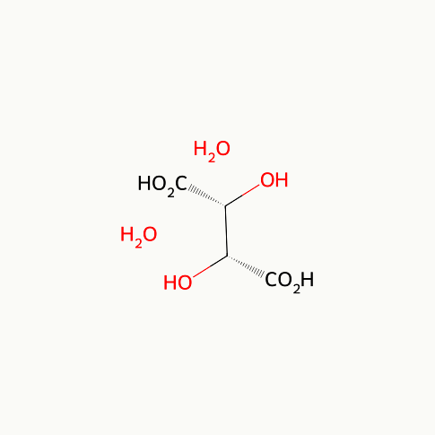 O.O.O=C(O)[C@H](O)[C@@H](O)C(=O)O